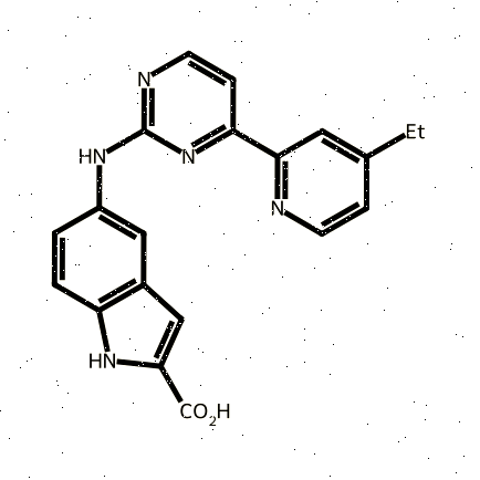 CCc1ccnc(-c2ccnc(Nc3ccc4[nH]c(C(=O)O)cc4c3)n2)c1